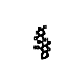 O=C(Nc1cc(Cl)nnc1Cl)c1c(O)c2ccccc2oc1=O